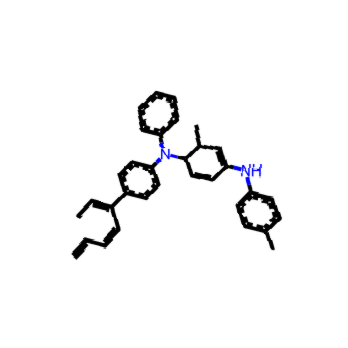 C=C/C=C\C(=C/C)c1ccc(N(c2ccccc2)C2C=CC(Nc3ccc(C)cc3)=CC2C)cc1